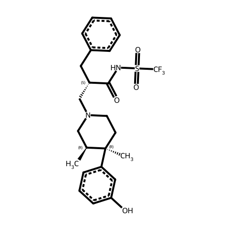 C[C@H]1CN(C[C@H](Cc2ccccc2)C(=O)NS(=O)(=O)C(F)(F)F)CC[C@@]1(C)c1cccc(O)c1